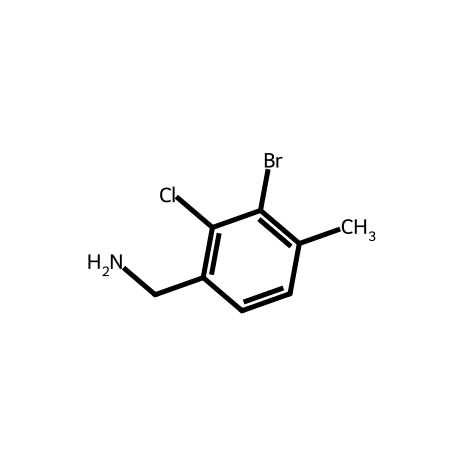 Cc1ccc(CN)c(Cl)c1Br